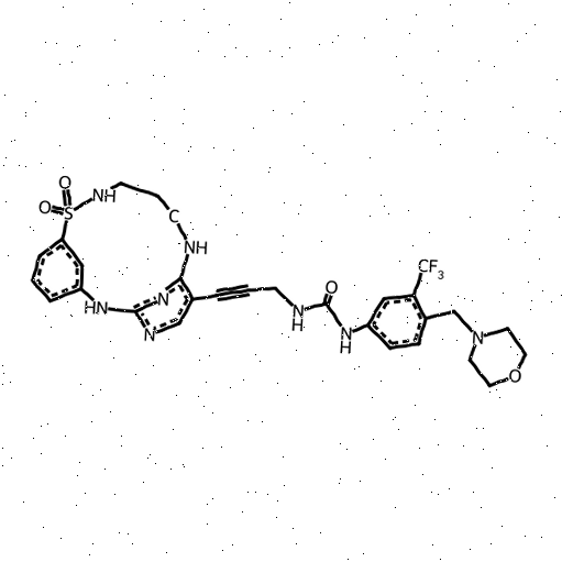 O=C(NCC#Cc1cnc2nc1NCCCNS(=O)(=O)c1cccc(c1)N2)Nc1ccc(CN2CCOCC2)c(C(F)(F)F)c1